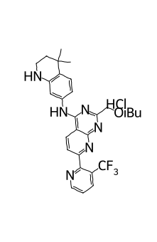 CC(C)COCc1nc(Nc2ccc3c(c2)NCCC3(C)C)c2ccc(-c3ncccc3C(F)(F)F)nc2n1.Cl